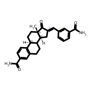 C[C@]12CC[C@@H]3c4ccc(C(N)=O)cc4CCC3[C@@H]1C/C(=C\c1cccc(C(N)=O)c1)C2=O